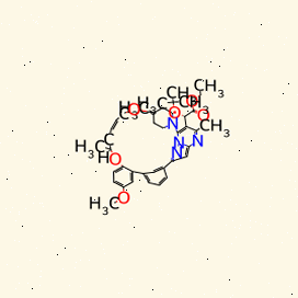 CCOC(=O)[C@@H](OC(C)(C)C)c1c(C)nc2cc3nn2c1N1CCC(C)(CC1)OCC=CC[C@H](C)Oc1ccc(OC)cc1-c1cccc-3c1